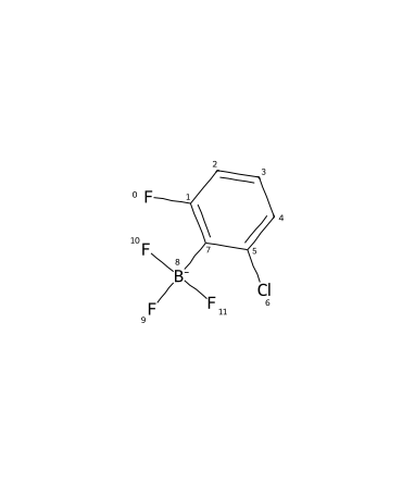 Fc1cccc(Cl)c1[B-](F)(F)F